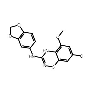 COc1cc(Cl)cc2c1NC(Nc1ccc3c(c1)OCO3)=NS2